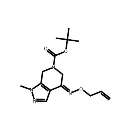 C=CCO/N=C1\CN(C(=O)OC(C)(C)C)Cc2c1cnn2C